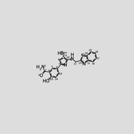 Br.NC(=O)c1cc(-c2csc(NCc3nc4ccccc4s3)n2)ccc1O